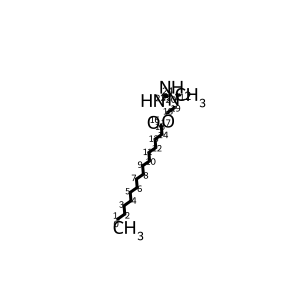 CCCCCCCCCCCCCCCC(=O)OCCN(C)C(=N)N